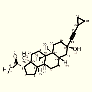 CC(=O)[C@H]1CC[C@H]2[C@@H]3CC[C@H]4C[C@@](O)(C#CC5CC5)CC[C@@H]4[C@H]3CC[C@]12C